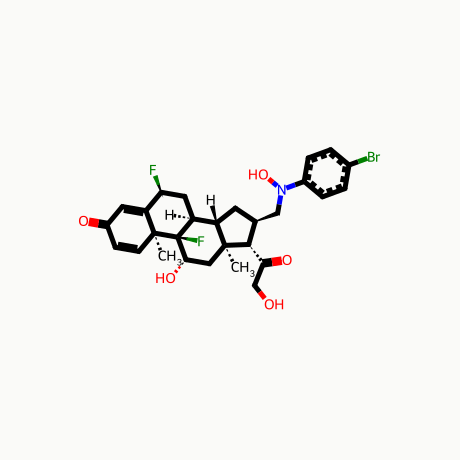 C[C@]12C[C@H](O)[C@@]3(F)[C@@H](C[C@H](F)C4=CC(=O)C=C[C@@]43C)[C@@H]1C[C@@H](CN(O)c1ccc(Br)cc1)[C@@H]2C(=O)CO